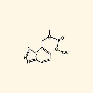 CN(Cc1cccc2nnnn12)C(=O)OC(C)(C)C